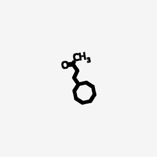 CC(=O)CCC1CCCCCCC1